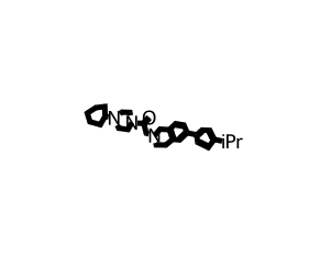 CC(C)c1ccc(-c2ccc3c(c2)CCN(CC(=O)N2CCN(C4CCCCC4)CC2)C3)cc1